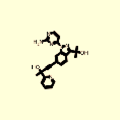 CC(C)(O)c1nn(-c2ccnc(N)n2)c2cc(C#CC(C)(O)c3ccccn3)ccc12